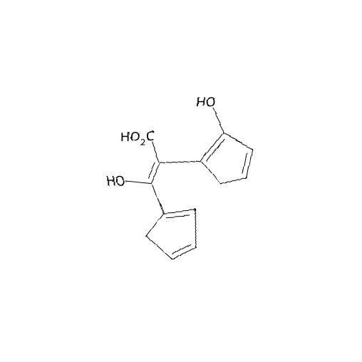 O=C(O)C(=C(O)C1=CC=CC1)C1=C(O)C=CC1